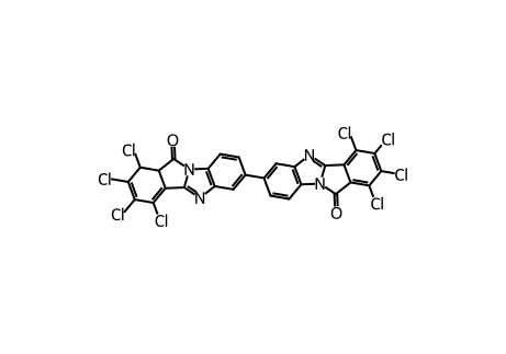 O=C1C2C(=C(Cl)C(Cl)=C(Cl)C2Cl)c2nc3cc(-c4ccc5c(c4)nc4n5C(=O)c5c(Cl)c(Cl)c(Cl)c(Cl)c5-4)ccc3n21